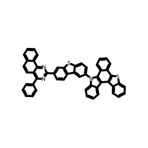 c1ccc(-c2nc(-c3ccc4c(c3)sc3ccc(-n5c6ccccc6c6c7c8ccccc8sc7c7ccccc7c65)cc34)nc3c2ccc2ccccc23)cc1